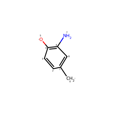 [CH2]c1ccc([O])c(N)c1